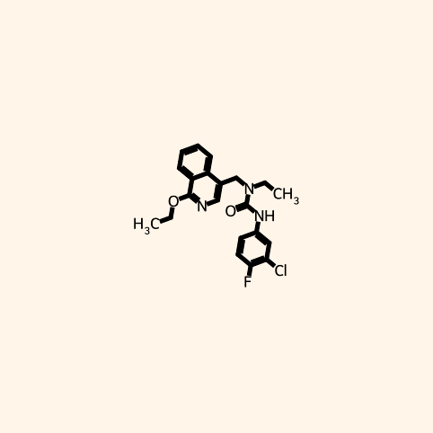 CCOc1ncc(CN(CC)C(=O)Nc2ccc(F)c(Cl)c2)c2ccccc12